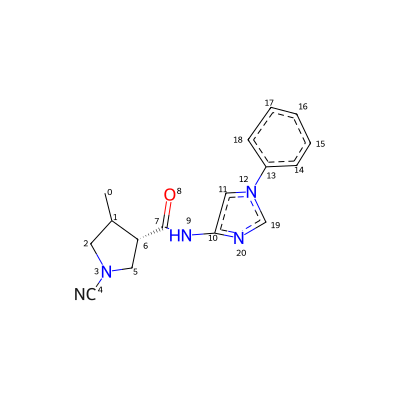 CC1CN(C#N)C[C@H]1C(=O)Nc1cn(-c2ccccc2)cn1